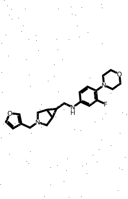 Fc1cc(NCC2C3CN(Cc4ccoc4)CC23)ccc1N1CCOCC1